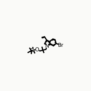 C=Cc1cn(CC(C)(C)CO[Si](C)(C)C(C)(C)C)c2cc(Br)ccc12